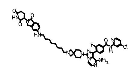 Nc1nccn2c(N3CCC4(CC3)CN(CCCCCCCCNc3ccc5c(c3)CN(C3CCC(=O)NC3=O)C5=O)C4)nc(-c3ccc(C(=O)Nc4cc(Cl)ccn4)cc3F)c12